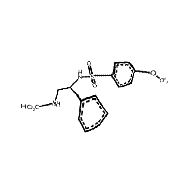 O=C(O)NCC(NS(=O)(=O)c1ccc(OC(F)(F)F)cc1)c1ccccc1